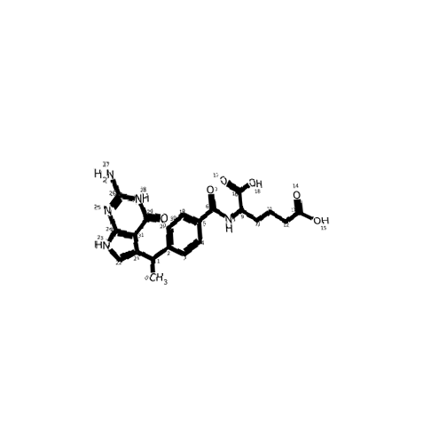 CC(c1ccc(C(=O)NC(CCCC(=O)O)C(=O)O)cc1)c1c[nH]c2nc(N)[nH]c(=O)c12